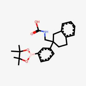 CC1(C)OB(c2cccc(C3(CNC(=O)O)CCc4ccccc4C3)c2)OC1(C)C